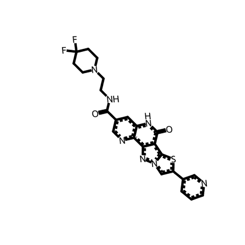 O=C(NCCN1CCC(F)(F)CC1)c1cnc2c(c1)[nH]c(=O)c1c2nn2cc(-c3cccnc3)sc12